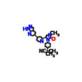 Cn1cc(-c2cc(-c3cnc4[nH]ncc4c3)ccn2)n(-c2ccc(C(C)(C)C#N)cc2)c1=O